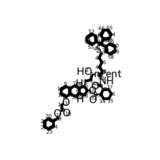 CCCCC[C@H](O)CC[C@@H]1[C@H]2Cc3cccc(OCC(=O)OCc4ccccc4)c3C[C@H]2C[C@H]1OC(=O)[C@@H]1CCCC[C@@H]1C(=O)NCCCCCCSC(c1ccccc1)(c1ccccc1)c1ccccc1